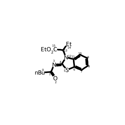 CCCCC(=O)/N=c1\sc2ccccc2n1C(CC)C(=O)OCC